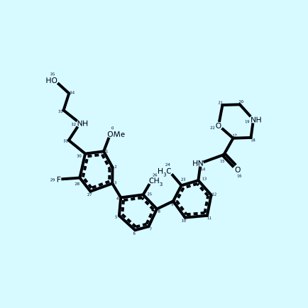 COc1cc(-c2cccc(-c3cccc(NC(=O)C4CNCCO4)c3C)c2C)cc(F)c1CNCCO